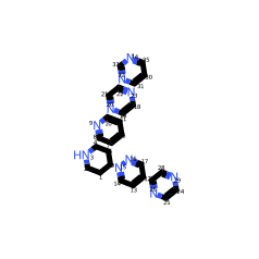 C1CCNCC1.c1ccncc1.c1ccnnc1.c1cnccn1.c1cnccn1.c1cncnc1